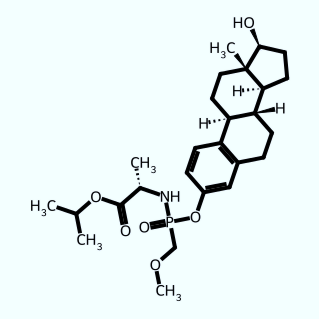 COCP(=O)(N[C@@H](C)C(=O)OC(C)C)Oc1ccc2c(c1)CC[C@@H]1[C@@H]2CC[C@]2(C)[C@@H](O)CC[C@@H]12